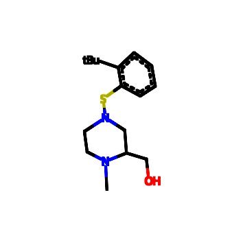 CN1CCN(Sc2ccccc2C(C)(C)C)CC1CO